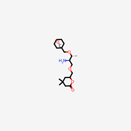 C[C@@H](OCC12CCC(CC1)OC2)[C@H](N)COCC1CC(C)(C)CC(=O)O1